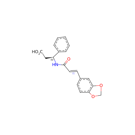 O=C(O)C[C@H](NC(=O)/C=C/c1ccc2c(c1)OCO2)c1ccccc1